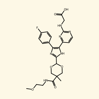 COCCNC(=O)C1(C)COC(c2nc(-c3ccc(F)cc3)c(-c3ccnc(NCC(=O)O)n3)[nH]2)OC1